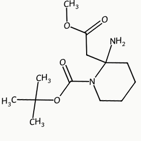 COC(=O)CC1(N)CCCCN1C(=O)OC(C)(C)C